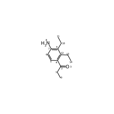 CCC(=O)c1ccc(N)c(CC)c1CC